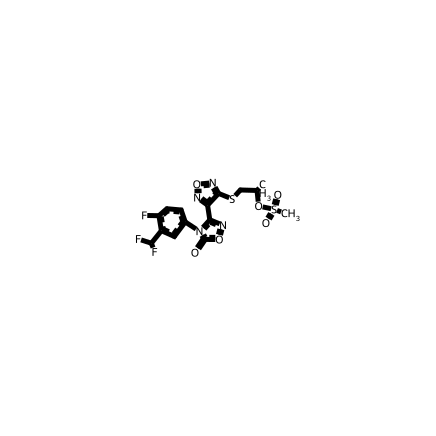 CC(CSc1nonc1-c1noc(=O)n1-c1ccc(F)c(C(F)F)c1)OS(C)(=O)=O